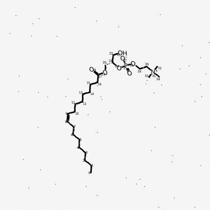 CCCCCCCC/C=C\CCCCCCCC(=O)OC[C@H](CO)OP(=O)([O-])OCC[N+](C)(C)C